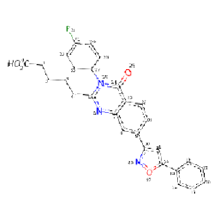 O=C(O)CCCCc1nc2cc(-c3cc(-c4ccccc4)on3)ccc2c(=O)n1C1C=CC(F)=CC1